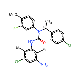 CCc1c(N)cc(Cl)c(CC)c1NC(=O)N(c1ccc(OC)c(F)c1)[C@@H](C)c1ccc(Cl)cc1